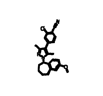 COc1ccc2c(c1)CCCCC2n1nc(C)c(-c2ccc(C#N)c(Cl)c2)c1C